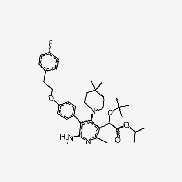 Cc1nc(N)c(-c2ccc(OCCc3ccc(F)cc3)cc2)c(N2CCC(C)(C)CC2)c1C(OC(C)(C)C)C(=O)OC(C)C